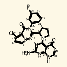 Nc1nc(N2CCCC2c2nn3ccc(Cl)c3c(=O)n2-c2cccc(F)c2)c2c(=O)nc[nH]c2n1